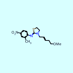 COCC/C=C/CN1CCS/C1=N\c1ccc([N+](=O)[O-])cc1C